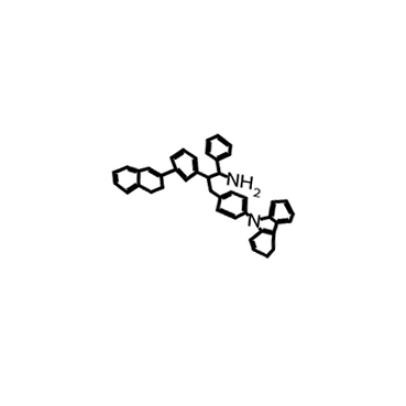 NC(c1ccccc1)C(Cc1ccc(-n2c3c(c4ccccc42)CCC=C3)cc1)c1cccc(C2=Cc3ccccc3CC2)c1